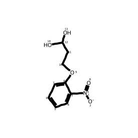 O=[N+]([O-])c1ccccc1OCCC(O)O